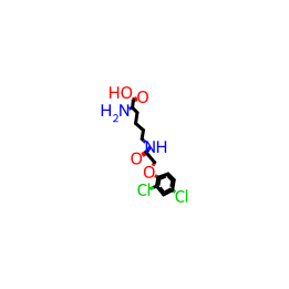 NC(CCCCNC(=O)COc1ccc(Cl)cc1Cl)C(=O)O